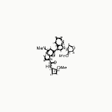 CNc1cc(-c2cn([C@@H]3COC[C@H]3OC)c3ncccc23)nc2c(C(=O)N[C@H]3CC[C@@H]3OC)cnn12